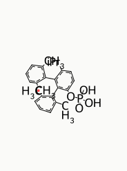 Cc1cccc(C)c1-c1c(OP(=O)(O)O)ccc(C(C)C)c1-c1c(C)cccc1C